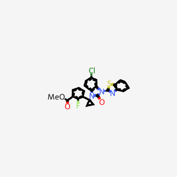 COC(=O)c1cccc(C2(n3c(=O)n(-c4nc5ccccc5s4)c4cc(Cl)ccc43)CC2)c1F